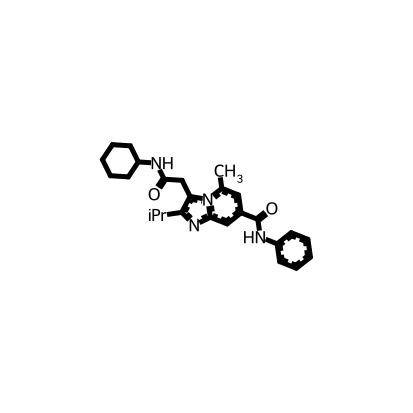 Cc1cc(C(=O)Nc2ccccc2)cc2nc(C(C)C)c(CC(=O)NC3CCCCC3)n12